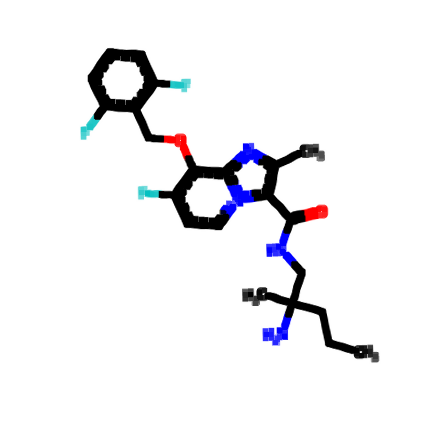 CCCC(C)(N)CNC(=O)c1c(C)nc2c(OCc3c(F)cccc3F)c(F)ccn12